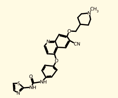 CN1CCC(COc2cc3nccc(Oc4ccc(NC(=O)Nc5nccs5)cc4)c3cc2C#N)CC1